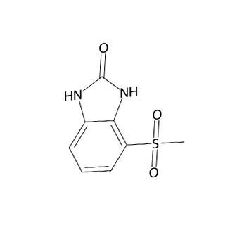 CS(=O)(=O)c1cccc2[nH]c(=O)[nH]c12